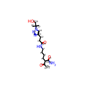 CC(C)C(=O)C(CCCCNC(=O)CCc1cn(C(C)(C)CO)nn1)C(N)=O